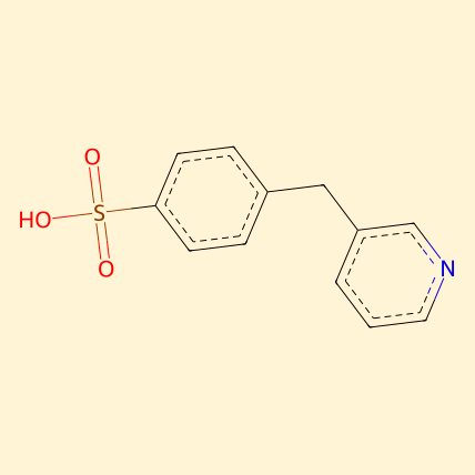 O=S(=O)(O)c1ccc(Cc2cccnc2)cc1